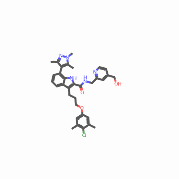 Cc1cc(OCCCc2c(C(=O)NCc3cc(CO)ccn3)[nH]c3c(-c4c(C)nn(C)c4C)cccc23)cc(C)c1Cl